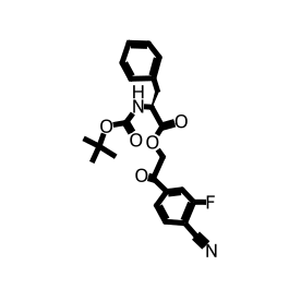 CC(C)(C)OC(=O)N[C@@H](Cc1ccccc1)C(=O)OCC(=O)c1ccc(C#N)c(F)c1